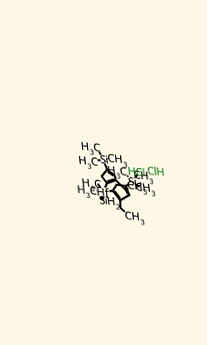 CCC1=[C]([Hf]([CH3])([CH3])(=[SiH2])[C]2=C(CC)C=C([Si](C)(C)C)C2)CC([Si](C)(C)C)=C1.Cl.Cl